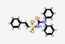 O=C(NS(=O)(=O)/C=C/c1ccccc1)N(c1ccccc1)c1ccccc1